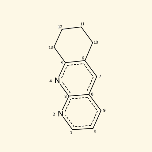 c1cnc2nc3c(cc2c1)CCCC3